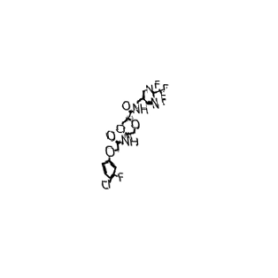 O=C(COc1ccc(Cl)c(F)c1)N[C@H]1CO[C@H](C(=O)NCc2cnc(C(F)(F)F)nc2)CO1